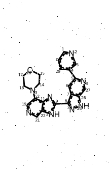 c1cncc(-c2cc3c(-c4nc5c(N6CCOCC6)cncc5[nH]4)n[nH]c3cn2)c1